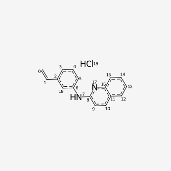 C=Cc1cccc(Nc2ccc3ccccc3n2)c1.Cl